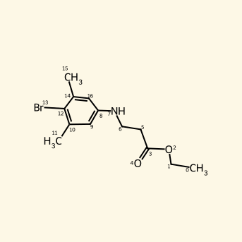 CCOC(=O)CCNc1cc(C)c(Br)c(C)c1